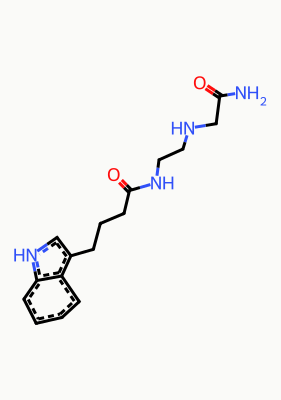 NC(=O)CNCCNC(=O)CCCc1c[nH]c2ccccc12